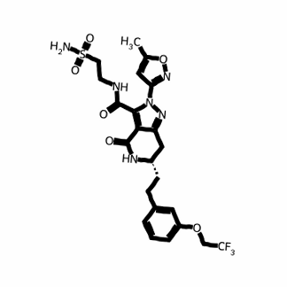 Cc1cc(-n2nc3c(c2C(=O)NCCS(N)(=O)=O)C(=O)N[C@@H](CCc2cccc(OCC(F)(F)F)c2)C3)no1